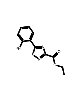 [2H]c1ccccc1-c1nc(C(=O)OCC)ns1